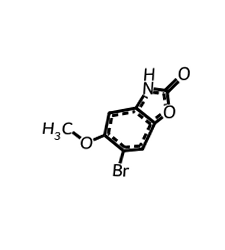 COc1cc2[nH]c(=O)oc2cc1Br